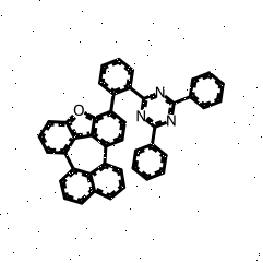 c1ccc(-c2nc(-c3ccccc3)nc(-c3ccccc3-c3ccc4c5c3oc3cccc(c35)-c3cccc5cccc-4c35)n2)cc1